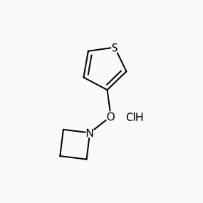 Cl.c1cc(ON2CCC2)cs1